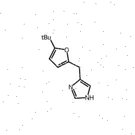 CC(C)(C)c1ccc(Cc2c[nH]cn2)o1